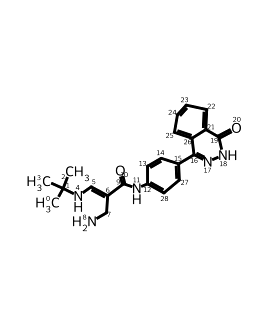 CC(C)(C)N/C=C(\CN)C(=O)Nc1ccc(-c2n[nH]c(=O)c3ccccc23)cc1